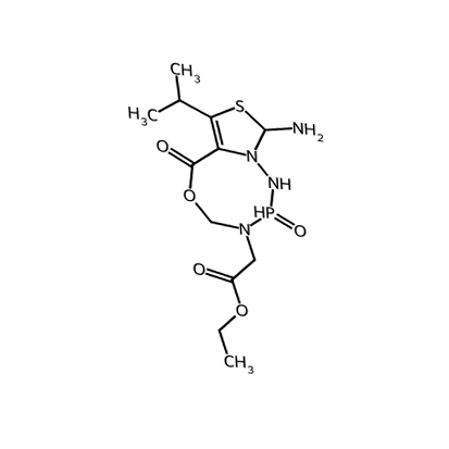 CCOC(=O)CN1COC(=O)C2=C(C(C)C)SC(N)N2N[PH]1=O